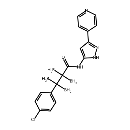 BC(B)(C(=O)Nc1cc(-c2ccncc2)n[nH]1)C(B)(B)c1ccc(Cl)cc1